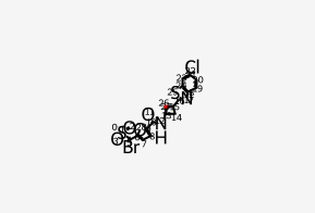 CS(=O)(=O)C(Br)c1ccc(C(=O)NC23CC(c4nc5ccc(Cl)cc5s4)(C2)C3)o1